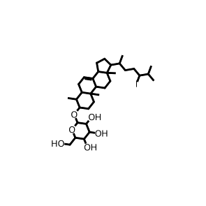 CC(C)C(I)CCC(C)C1CCC2C3=CCC4C(C)C(OC5OC(CO)C(O)C(O)C5O)CCC4(C)C3CCC21C